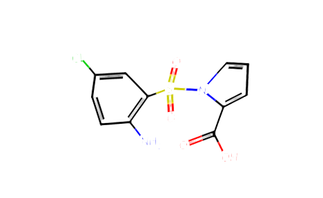 Nc1ccc(Cl)cc1S(=O)(=O)n1cccc1C(=O)O